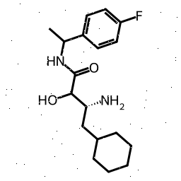 CC(NC(=O)C(O)[C@H](N)CC1CCCCC1)c1ccc(F)cc1